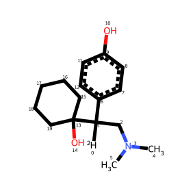 [2H]C(CN(C)C)(c1ccc(O)cc1)C1(O)CCCCC1